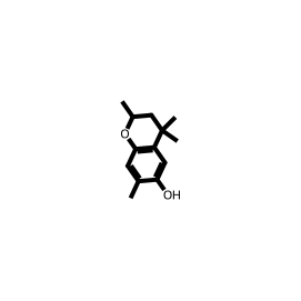 Cc1cc2c(cc1O)C(C)(C)CC(C)O2